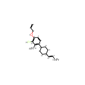 C=CCOc1ccc(C2CCC(/C=C/CCC)CC2)c(CCC)c1F